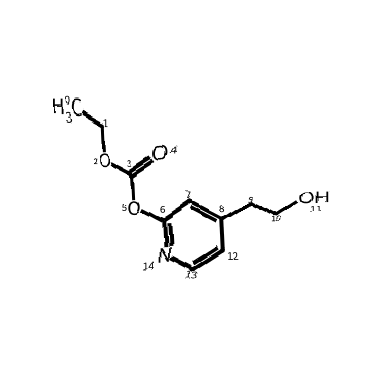 CCOC(=O)Oc1cc(CCO)ccn1